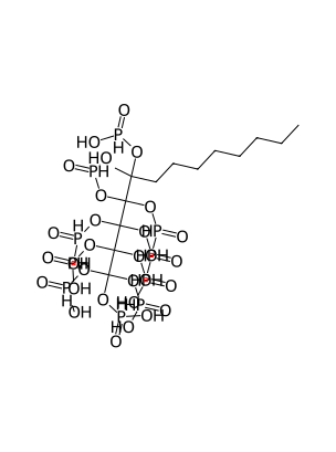 CCCCCCCCC(C)(O[PH](=O)O)C(O[PH](=O)O)(O[PH](=O)O)C(O[PH](=O)O)(O[PH](=O)O)C(O[PH](=O)O)(O[PH](=O)O)C(O[PH](=O)O)(O[PH](=O)O)O[PH](=O)O